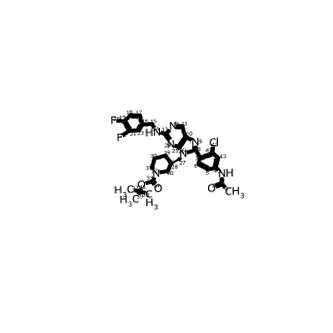 CC(=O)Nc1ccc(-c2nc3cnc(NCc4ccc(F)c(F)c4)nc3n2C[C@@H]2CCCN(C(=O)OC(C)(C)C)C2)c(Cl)c1